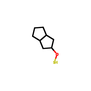 SOC1CC2CCCC2C1